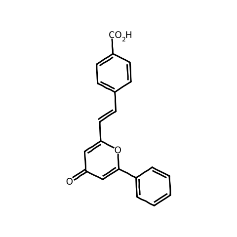 O=C(O)c1ccc(C=Cc2cc(=O)cc(-c3ccccc3)o2)cc1